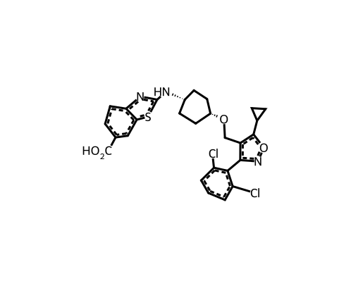 O=C(O)c1ccc2nc(N[C@H]3CC[C@@H](OCc4c(-c5c(Cl)cccc5Cl)noc4C4CC4)CC3)sc2c1